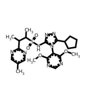 COc1ncnc(OC)c1-n1c(NS(=O)(=O)C(C)C(C)c2ncc(C)cn2)nnc1C1CCCC1